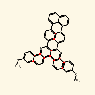 COc1ccc(-c2nc(-c3ccccc3)nc(-c3ccc(-c4cccc5cccc(-c6ccc(-c7nc(-c8ccccc8)nc(-c8ccc(OC)cc8)n7)cc6)c45)cc3)n2)cc1